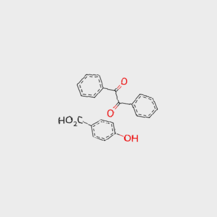 O=C(C(=O)c1ccccc1)c1ccccc1.O=C(O)c1ccc(O)cc1